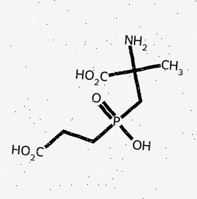 CC(N)(CP(=O)(O)CCC(=O)O)C(=O)O